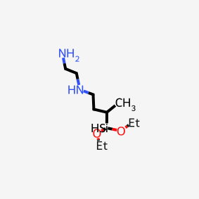 CCO[SiH](OCC)C(C)CCNCCN